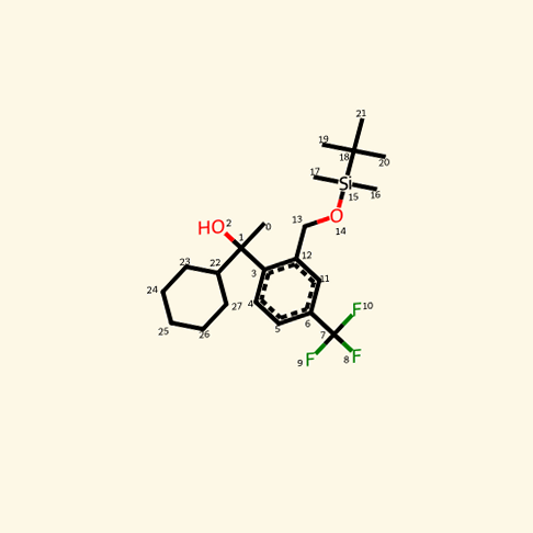 CC(O)(c1ccc(C(F)(F)F)cc1CO[Si](C)(C)C(C)(C)C)C1CCCCC1